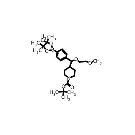 COCCOC(c1ccc(B2OC(C)(C)C(C)(C)O2)cc1)C1CCN(C(=O)OC(C)(C)C)CC1